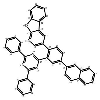 c1ccc(-c2nc(-c3ccccc3)nc(-c3cc(-c4ccc5ccccc5c4)ccc3-c3cnc4oc5ccccc5c4c3)n2)cc1